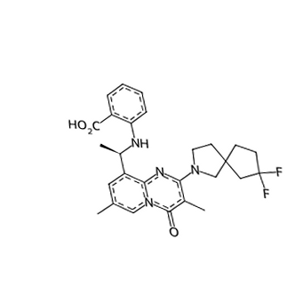 Cc1cc([C@@H](C)Nc2ccccc2C(=O)O)c2nc(N3CCC4(CCC(F)(F)C4)C3)c(C)c(=O)n2c1